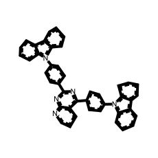 c1cnc2nc(-c3ccc(-n4c5ccccc5c5ccccc54)cc3)nc(-c3ccc(-n4c5ccccc5c5ccccc54)cc3)c2c1